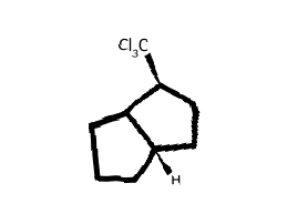 ClC(Cl)(Cl)[C@H]1CC[C@@H]2CCCC21